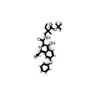 CCC(C)(CNC(=O)c1nc(C#N)c2cc(Oc3ccccc3)ccc2c1O)C(=O)OC(C)(C)C